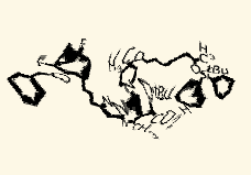 Cc1nc2cc(C=CCc3cc(F)cc(F)c3OCc3ccccc3)nn2c(N2CCC(C)(OCCCCC(C)O[Si](c3ccccc3)(c3ccccc3)C(C)(C)C)CC2)c1C(OC(C)(C)C)C(=O)O